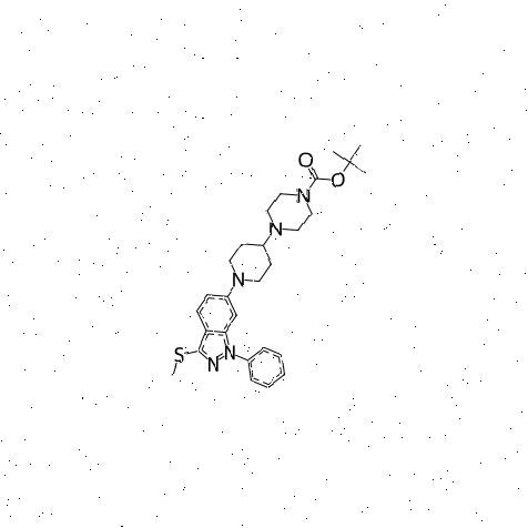 CSc1nn(-c2ccccc2)c2cc(N3CCC(N4CCN(C(=O)OC(C)(C)C)CC4)CC3)ccc12